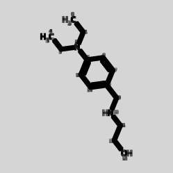 CCN(CC)c1ccc(CNCCO)cc1